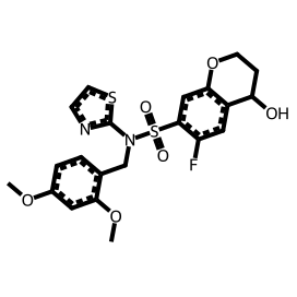 COc1ccc(CN(c2nccs2)S(=O)(=O)c2cc3c(cc2F)C(O)CCO3)c(OC)c1